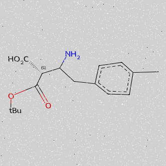 Cc1ccc(CC(N)[C@@H](C(=O)O)C(=O)OC(C)(C)C)cc1